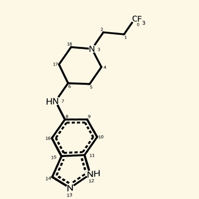 FC(F)(F)CCN1CCC(Nc2ccc3[nH]ncc3c2)CC1